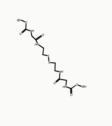 CC(C)(C)OC(=O)NCC(=O)NCCSSCCNC(=O)CNC(=O)OC(C)(C)C